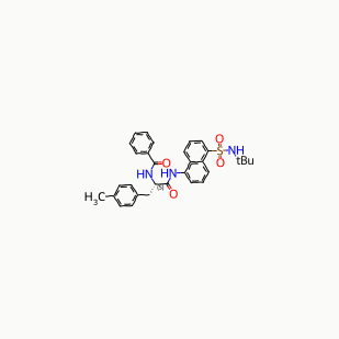 Cc1ccc(C[C@H](NC(=O)c2ccccc2)C(=O)Nc2cccc3c(S(=O)(=O)NC(C)(C)C)cccc23)cc1